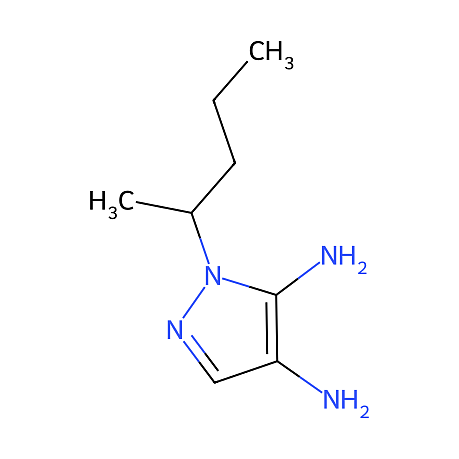 CCCC(C)n1ncc(N)c1N